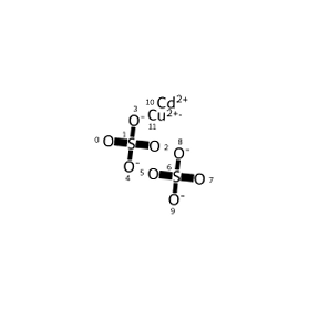 O=S(=O)([O-])[O-].O=S(=O)([O-])[O-].[Cd+2].[Cu+2]